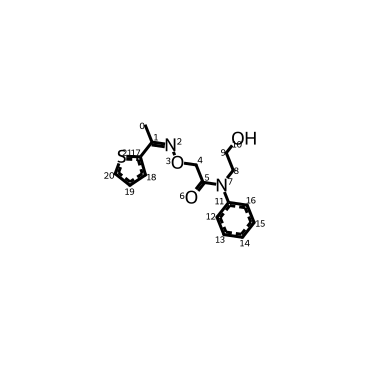 CC(=NOCC(=O)N(CCO)c1ccccc1)c1cccs1